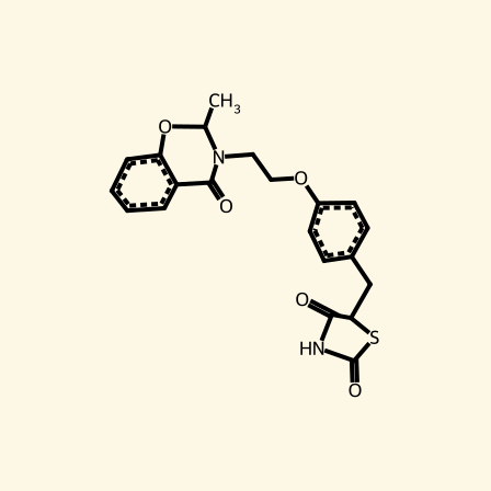 CC1Oc2ccccc2C(=O)N1CCOc1ccc(CC2SC(=O)NC2=O)cc1